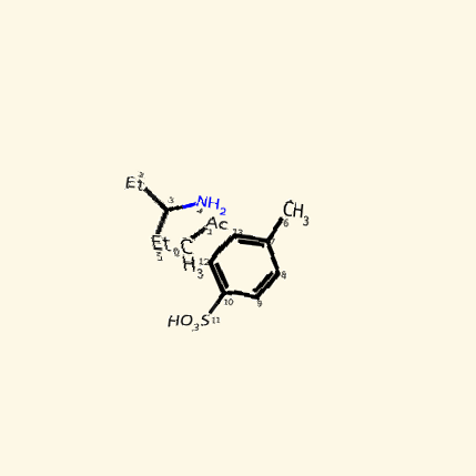 CC(C)=O.CCC(N)CC.Cc1ccc(S(=O)(=O)O)cc1